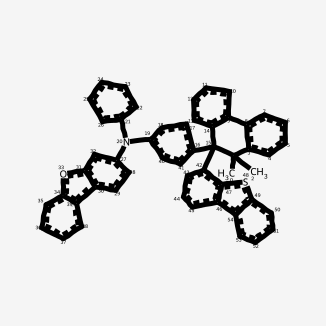 CC1(C)c2ccccc2-c2ccccc2C1(c1ccc(N(c2ccccc2)c2ccc3c(c2)oc2ccccc23)cc1)c1cccc2c1sc1ccccc12